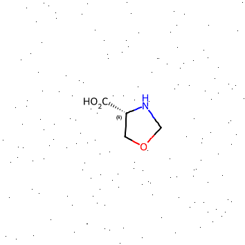 O=C(O)[C@H]1COCN1